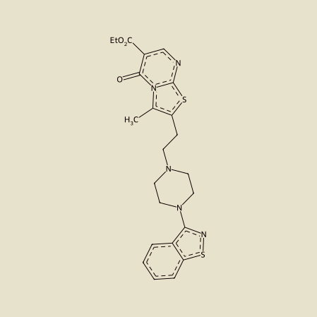 CCOC(=O)c1cnc2sc(CCN3CCN(c4nsc5ccccc45)CC3)c(C)n2c1=O